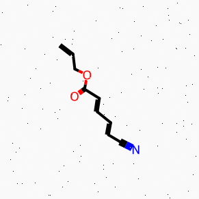 C=CCOC(=O)C=CC=CC#N